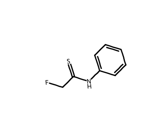 FCC(=S)Nc1ccccc1